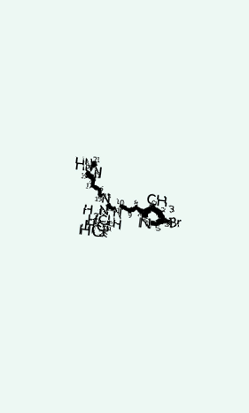 Cc1cc(Br)cnc1CCCNC(N)=NCCCc1c[nH]cn1.Cl.Cl.Cl